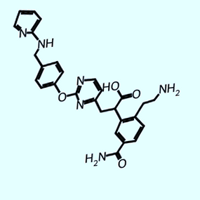 NCCc1ccc(C(N)=O)cc1C(Cc1ccnc(Oc2ccc(CNc3ccccn3)cc2)n1)C(=O)O